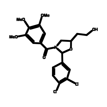 COc1cc(C(=O)N2CC(CCO)OC2c2ccc(Cl)c(Cl)c2)cc(OC)c1OC